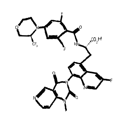 Cn1c(=O)n(-c2ccc(C[C@H](NC(=O)c3c(F)cc(N4CCOC[C@@H]4C(F)(F)F)cc3F)C(=O)O)c3cc(F)cnc23)c(=O)c2cnccc21